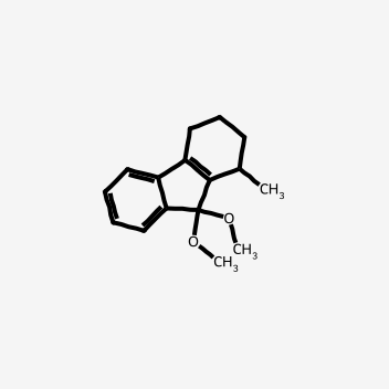 COC1(OC)C2=C(CCCC2C)c2ccccc21